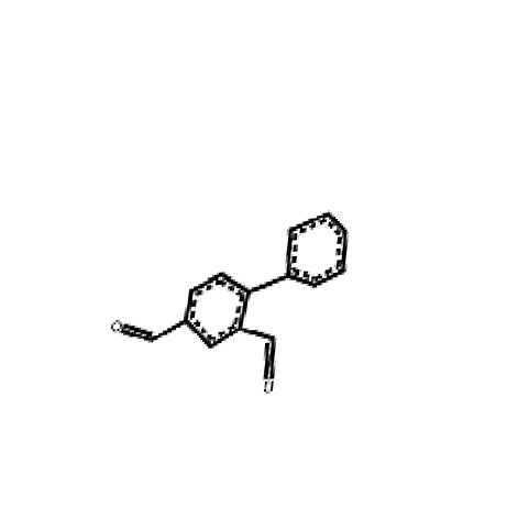 O=Cc1ccc(-c2ccccc2)c(C=O)c1